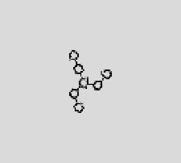 c1ccc(-c2ccc(-c3cc(-c4cccc(-c5ccccn5)c4)nc(-c4cccc(-c5ccccn5)c4)n3)cc2)nc1